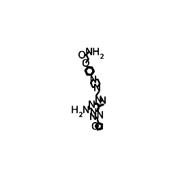 NC(=O)COc1ccc(N2CCN(CCn3ncc4c3nc(N)n3nc(-c5ccco5)nc43)CC2)cc1